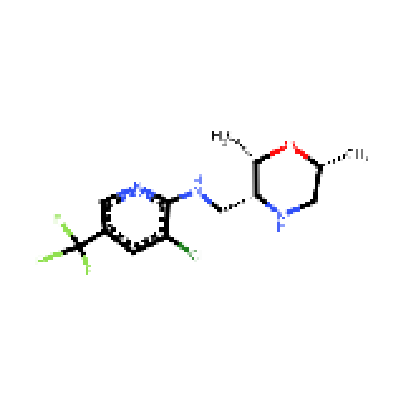 C[C@@H]1CN[C@H](CNc2ncc(C(F)(F)F)cc2Cl)[C@H](C)O1